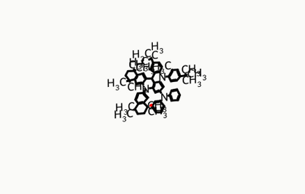 Cc1cc(C(C)(C)C)ccc1N1c2ccc(C(C)(C)C)cc2C2c3cc4c(cc3N(c3ccc5c(c3)C(C)(C)CCC5(C)C)c3cc(N(c5ccccc5)c5ccccc5)cc1c32)C(C)(C)CCC4(C)C